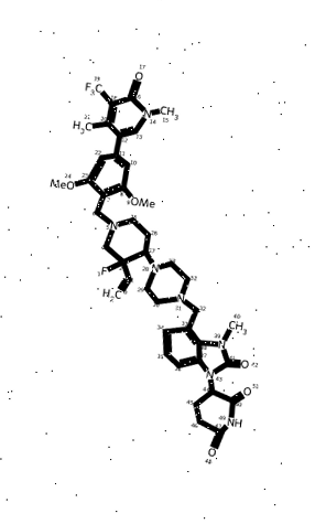 C=CC1(F)CN(Cc2c(OC)cc(-c3cn(C)c(=O)c(C(F)(F)F)c3C)cc2OC)CCC1N1CCN(Cc2cccc3c2n(C)c(=O)n3C2CCC(=O)NC2=O)CC1